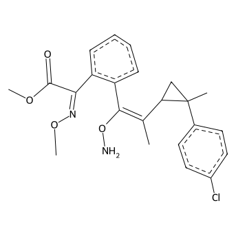 CON=C(C(=O)OC)c1ccccc1C(ON)=C(C)C1CC1(C)c1ccc(Cl)cc1